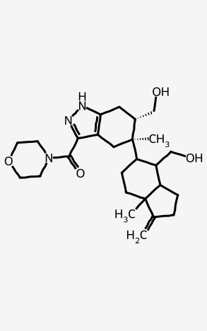 C=C1CCC2C(CO)C([C@@]3(C)Cc4c(C(=O)N5CCOCC5)n[nH]c4C[C@@H]3CO)CCC12C